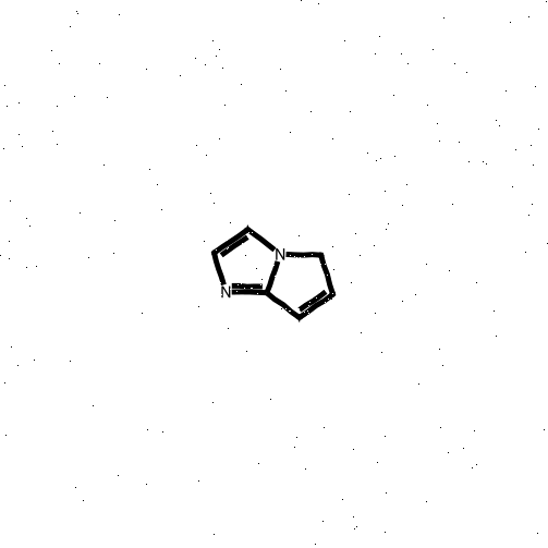 [C]1=CCn2[c]cnc21